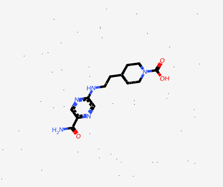 NC(=O)c1cnc(NCCC2CCN(C(=O)O)CC2)cn1